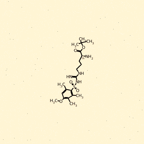 COc1cc(C)c(S(=O)(=O)NC(=N)NCCC[C@H](N)C(=O)OC(C)(C)C)c(C)c1C